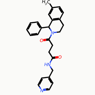 Cc1ccc2c(c1)C(c1ccccc1)N(C(=O)CCC(=O)NCc1ccncc1)CC2